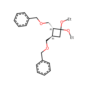 CCOC1(OCC)C[C@@H](COCc2ccccc2)[C@@H]1COCc1ccccc1